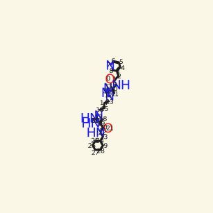 O=C(Cc1cccnc1)Nc1cn(CCCCN2C=C(C(=O)NCC3CCCCC3)NN2)nn1